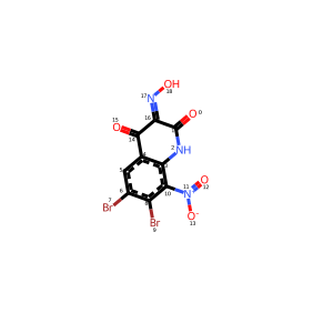 O=C1Nc2c(cc(Br)c(Br)c2[N+](=O)[O-])C(=O)C1=NO